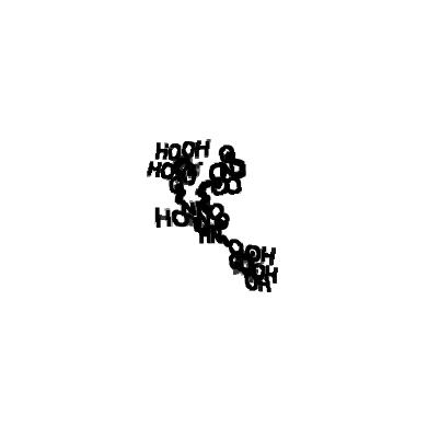 C[C@@H]1O[C@@H](OCCNC(=O)[C@H]2CC[C@H](C(O)NCCO[C@@H]3O[C@@H](C)[C@@H](O)[C@@H](O)[C@@H]3O)N2C(=O)CCCCC(=O)ON2C(=O)CCC2=O)[C@@H](O)[C@H](O)[C@@H]1O